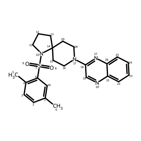 Cc1ccc(C)c(S(=O)(=O)N2CCCC23CCN(c2cnc4ccccc4n2)CC3)c1